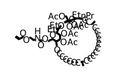 C=CC(=O)OCCNC(=O)OCC1OC2C(OC(C)=O)C(OC(C)=O)C1OCCCCCCC(C)CCCCCCCCCCC(C)CCC(CC)(CCC)C1OC(COC(C)=O)C(OC2(CC)CC)C(OC(C)=O)C1OC(C)=O